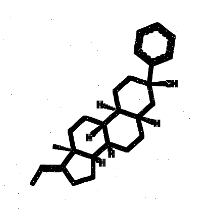 CC=C1CC[C@H]2[C@@H]3CC[C@H]4C[C@@](O)(c5ccccc5)CC[C@@H]4[C@H]3CC[C@]12C